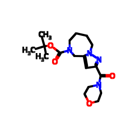 CC(C)(C)OC(=O)N1CCCCn2nc(C(=O)N3CCOCC3)cc2C1